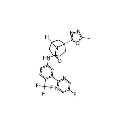 Cc1nnc([C@@]23CCCC[C@@H](C2)N3C(=O)Nc2ccc(C(F)(F)F)c(-c3ncc(F)cn3)c2)o1